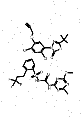 C#CCOc1cc(-n2nc(C(C)(C)C)oc2=O)c(Cl)cc1Cl.COc1nc(C)nc(NC(=O)NS(=O)(=O)c2ccccc2CCC(F)(F)F)n1